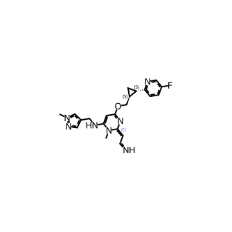 CN1C(NCc2cnn(C)c2)=CC(OC[C@H]2C[C@@H]2c2ccc(F)cn2)=N/C1=C/C=N